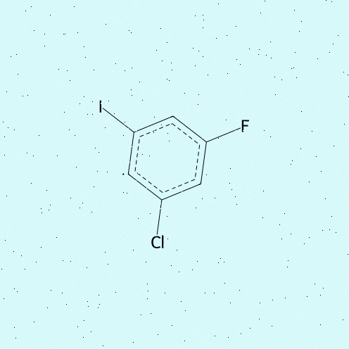 Fc1cc(Cl)[c]c(I)c1